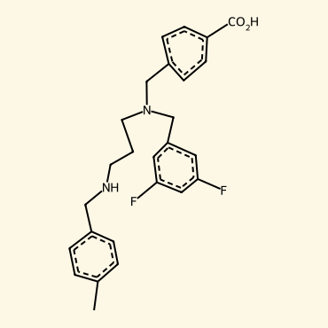 Cc1ccc(CNCCCN(Cc2ccc(C(=O)O)cc2)Cc2cc(F)cc(F)c2)cc1